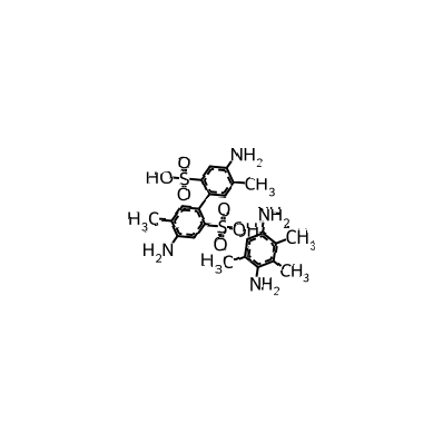 Cc1cc(-c2cc(C)c(N)cc2S(=O)(=O)O)c(S(=O)(=O)O)cc1N.Cc1cc(N)c(C)c(C)c1N